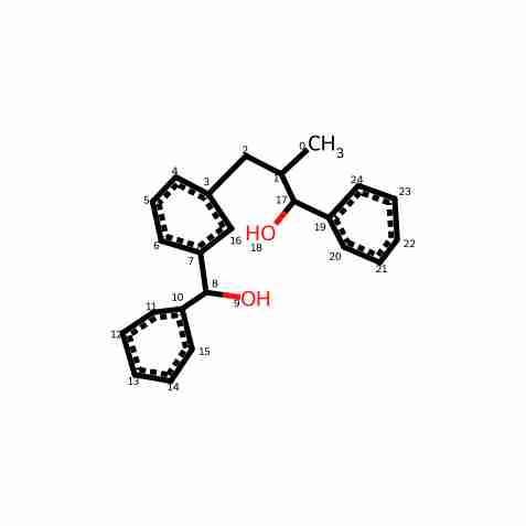 CC(Cc1cccc(C(O)c2ccccc2)c1)C(O)c1ccccc1